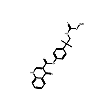 CCCCOC(=O)NCC(C)(C)c1ccc(NC(=O)c2c[nH]c3ccccc3c2=O)cc1